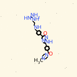 CN1CCN(C(=O)c2ccc(-c3cn4cc(-c5ccc(CNCCCNC(=N)N)cc5)c(=O)nc4[nH]3)cc2)CC1